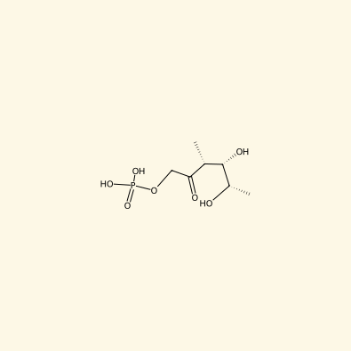 C[C@H](O)[C@@H](O)[C@@H](C)C(=O)COP(=O)(O)O